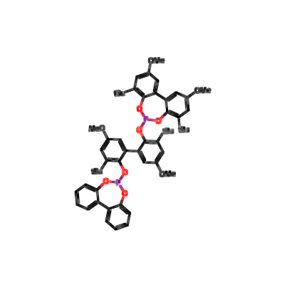 COc1cc(-c2cc(OC)cc(C(C)(C)C)c2Op2oc3c(C(C)(C)C)cc(OC)cc3c3cc(OC)cc(C(C)(C)C)c3o2)c(Op2oc3ccccc3c3ccccc3o2)c(C(C)(C)C)c1